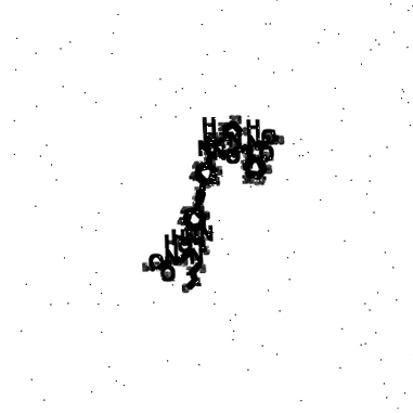 CCCCN(Cc1nc2cc(C#Cc3ccc(-c4n[nH]c([C@@H]5CCCN5C(=O)[C@H](NC(=O)OC)c5ccccc5)n4)cc3)ccc2[nH]1)C(=O)CNC(=O)OC